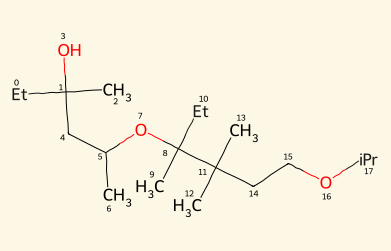 CCC(C)(O)CC(C)OC(C)(CC)C(C)(C)CCOC(C)C